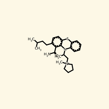 CC(C)CCc1ccc2c(c1C(N)=O)N(C(C)C[N+]1(C)CCCC1)c1ccccc1S2